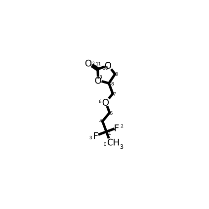 CC(F)(F)CCOCC1COC(=O)O1